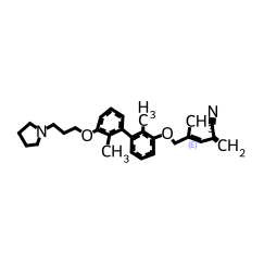 C=C(C#N)/C=C(\C)COc1cccc(-c2cccc(OCCCN3CCCC3)c2C)c1C